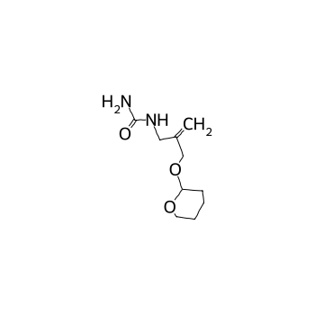 C=C(CNC(N)=O)COC1CCCCO1